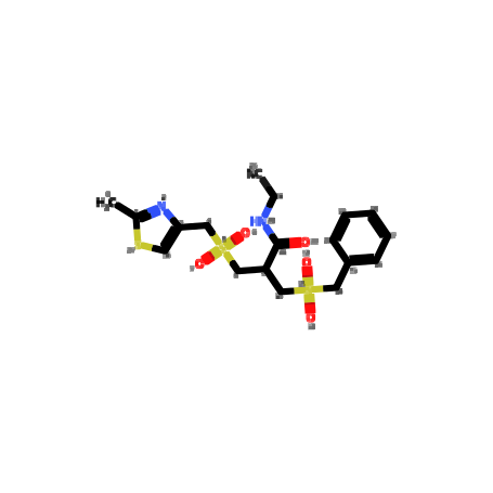 Cc1nc(CS(=O)(=O)CC(CS(=O)(=O)Cc2ccccc2)C(=O)NCC#N)cs1